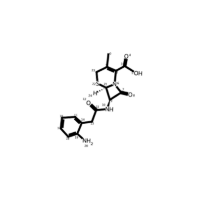 CC1=C(C(=O)O)N2C(=O)[C@@H](NC(=O)Cc3ccccc3N)[C@H]2SC1